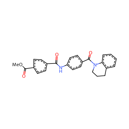 COC(=O)c1ccc(C(=O)Nc2ccc(C(=O)N3CCCc4ccccc43)cc2)cc1